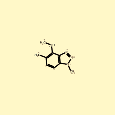 CNc1c(C)ccc2c1nnn2C